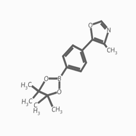 Cc1ncoc1-c1ccc(B2OC(C)(C)C(C)(C)O2)cc1